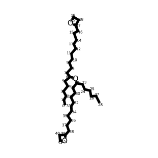 CCCCCCC(CCCCCCCCCCC1CCO1)OC(CCCCCC)CCCCCCCCCCC1CCO1